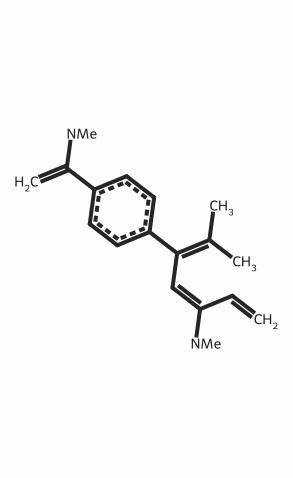 C=C/C(=C\C(=C(C)C)c1ccc(C(=C)NC)cc1)NC